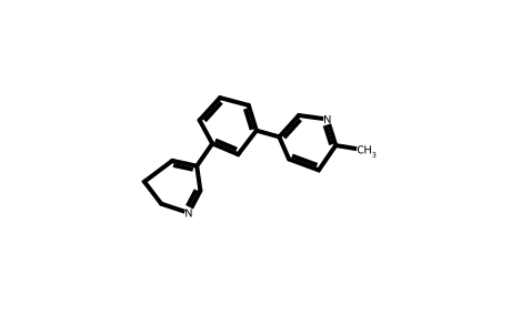 Cc1ccc(-c2cccc(C3=CCCN=C3)c2)cn1